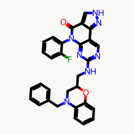 O=c1c2c[nH]nc2c2cnc(NCC3CN(Cc4ccccc4)c4ccccc4O3)nc2n1-c1ccccc1F